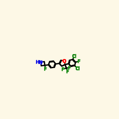 Fc1c(Cl)cc(C2(C(F)(F)F)CC(c3ccc(C4(F)CNC4)cc3)=CO2)cc1Cl